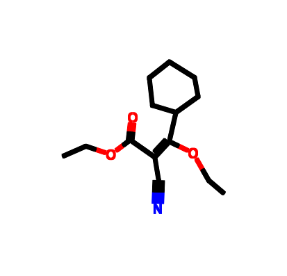 CCOC(=O)C(C#N)=C(OCC)C1CCCCC1